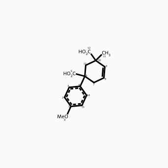 COc1ccc(C2(C(=O)O)CC=CC(C)(C(=O)O)C2)cc1